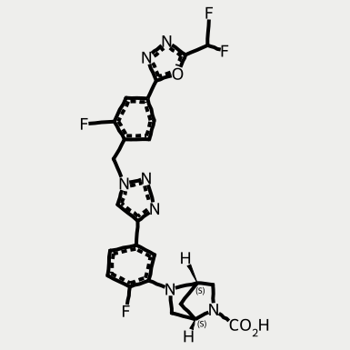 O=C(O)N1C[C@@H]2C[C@H]1CN2c1cc(-c2cn(Cc3ccc(-c4nnc(C(F)F)o4)cc3F)nn2)ccc1F